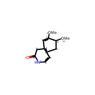 COC1=CC2=C(C=CNC(=O)C2)CC1OC